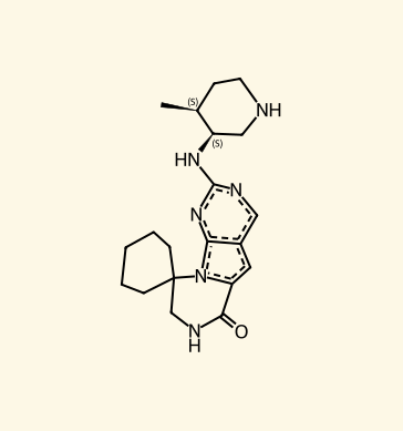 C[C@H]1CCNC[C@H]1Nc1ncc2cc3n(c2n1)C1(CCCCC1)CNC3=O